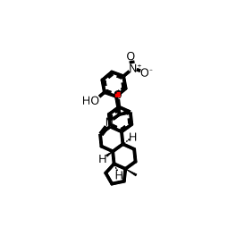 COc1cc2c3cc1C(c1cc([N+](=O)[O-])ccc1O)N=C2C[C@@H]1[C@@H]3CC[C@]2(C)CCC[C@@H]12